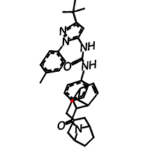 Cc1ccc(-n2nc(C(C)(C)C)cc2NC(=O)Nc2ccc(CC3CC4CCC(C3)N4C(=O)C3CC4C=CC3C4)cc2)cc1